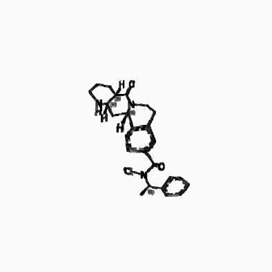 C[C@H](c1ccccc1)N(Cl)C(=O)c1ccc2c(c1)CCN1C(=O)[C@H]3CCCN[C@H]3C[C@@H]21